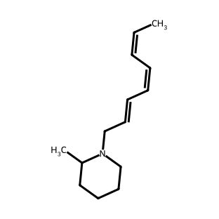 C\C=C/C=C\C=C\CN1CCCCC1C